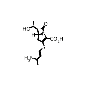 CC(N)/C=C/SC1=C(C(=O)O)N2C(=O)[C@@H]([C@H](C)O)[C@H]2C1